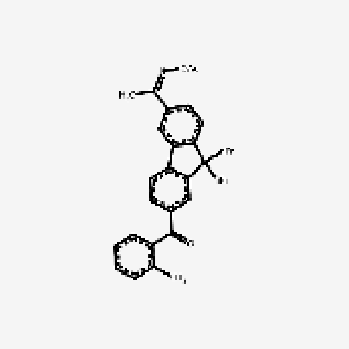 CCCC1(CCC)c2ccc(/C(C)=N\OC(C)=O)cc2-c2ccc(C(=O)c3ccccc3C)cc21